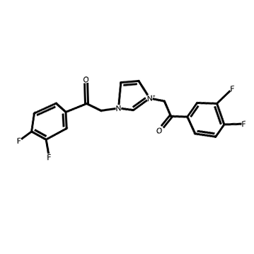 O=C(Cn1cc[n+](CC(=O)c2ccc(F)c(F)c2)c1)c1ccc(F)c(F)c1